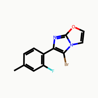 Cc1ccc(-c2nc3occn3c2Br)c(F)c1